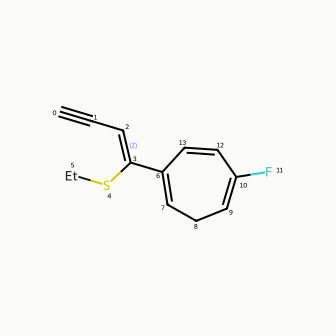 C#C/C=C(\SCC)C1=CCC=C(F)C=C1